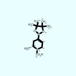 C[C@@H]1CC(B2OC(C)(C)C(C)(C)O2)=CCN1C(=O)O